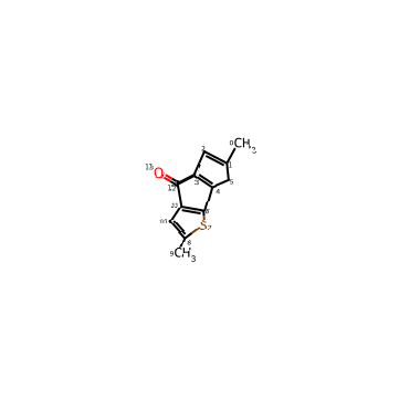 CC1=CC2=C(C1)c1sc(C)cc1C2=O